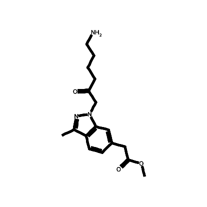 COC(=O)Cc1ccc2c(C)nn(CC(=O)CCCCN)c2c1